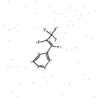 F/C(=C(/F)C(F)(F)F)c1ccccc1